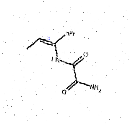 C/C=C(/CCC)NC(=O)C(N)=O